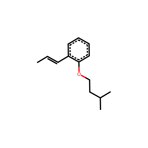 CC=Cc1ccccc1OCCC(C)C